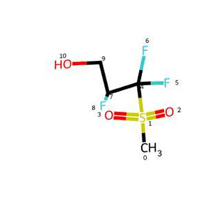 CS(=O)(=O)C(F)(F)C(F)CO